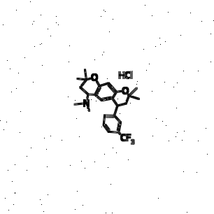 CN(C)C1CC(C)(C)Oc2cc3c(cc21)C(c1cccc(C(F)(F)F)c1)CC(C)(C)O3.Cl